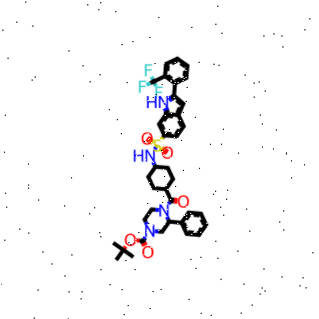 CC(C)(C)OC(=O)N1CCN(C(=O)C2CCC(NS(=O)(=O)c3ccc4cc(-c5ccccc5C(F)(F)F)[nH]c4c3)CC2)C(c2ccccc2)C1